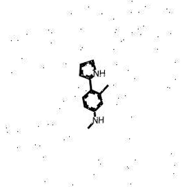 CNc1ccc(-c2ccc[nH]2)c(C)c1